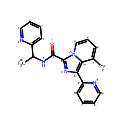 O=C(NC(c1ccccn1)C(F)(F)F)c1nc(-c2ccccn2)c2c(C(F)(F)F)cccn12